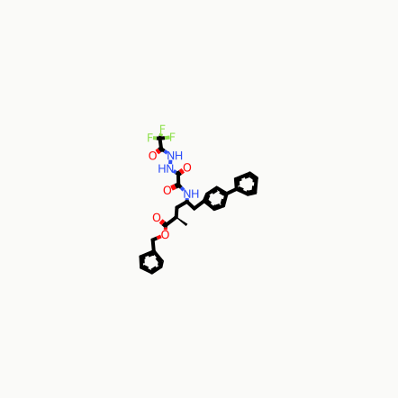 C[C@H](CC(Cc1ccc(-c2ccccc2)cc1)NC(=O)C(=O)NNC(=O)C(F)(F)F)C(=O)OCc1ccccc1